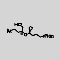 CCCCCCCCCCCCC(=O)O[C@H](CO)CCC(C)=O